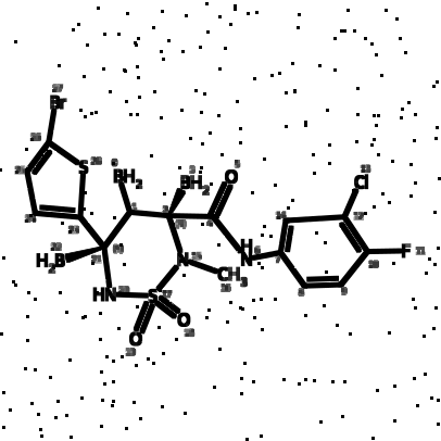 BC1[C@](B)(C(=O)Nc2ccc(F)c(Cl)c2)N(C)S(=O)(=O)N[C@]1(B)c1ccc(Br)s1